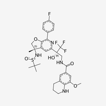 COc1cc(C(=O)NC[C@@](O)(c2cc3c(c(-c4ccc(F)cc4)n2)OC[C@@]3(C)N[S+]([O-])C(C)(C)C)C(F)(F)F)cc2c1NCCC2